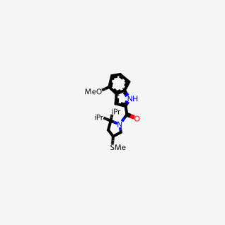 COc1cccc2[nH]c(C(=O)N3CC(SC)CC3(C(C)C)C(C)C)cc12